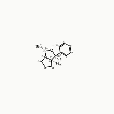 CC(C)(C)[P@]1O[C@@](C)(c2ccccc2)[C@H]2CCCN21